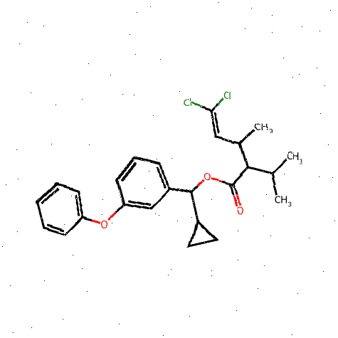 CC(C)C(C(=O)OC(c1cccc(Oc2ccccc2)c1)C1CC1)C(C)C=C(Cl)Cl